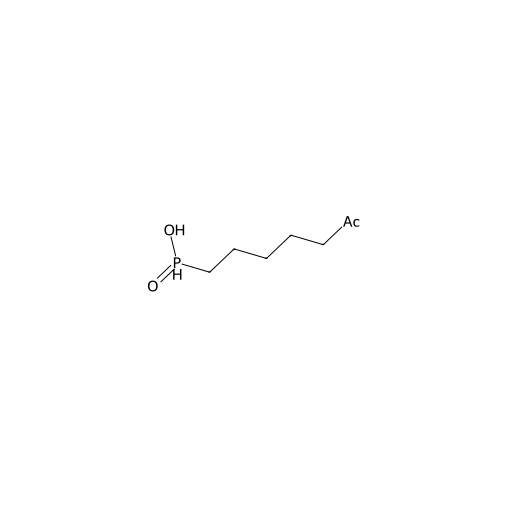 CC(=O)CCCCC[PH](=O)O